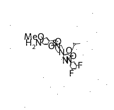 COc1cc(CS(=O)(=O)N2CCN(c3cnn(-c4cc(F)cc(F)c4)c(=O)c3OCC3CC3C)CC2)ccc1N